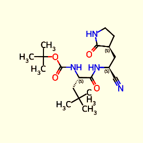 CC(C)(C)C[C@H](NC(=O)OC(C)(C)C)C(=O)N[C@H](C#N)C[C@@H]1CCNC1=O